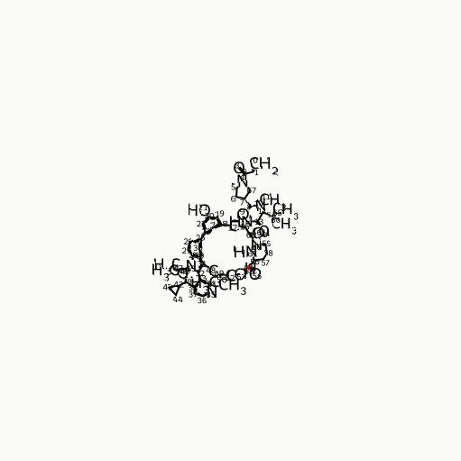 C=CC(=O)N1CC[C@H](C(=O)N(C)C(C(=O)N[C@H]2Cc3cc(O)cc(c3)-c3ccc4c(c3)c(c(-c3cnccc3C(OC)C3CC3)n4CC)CC(C)(C)COC(=O)[C@@H]3CCCN(N3)C2=O)C(C)C)C1